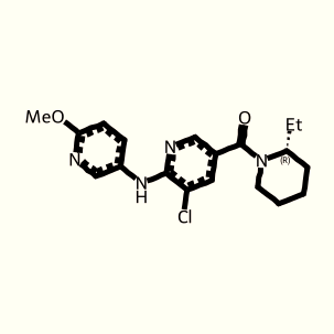 CC[C@@H]1CCCCN1C(=O)c1cnc(Nc2ccc(OC)nc2)c(Cl)c1